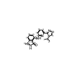 CC(C)n1cnnc1-c1cccc(Nc2cccc3c2c(=O)[nH]n3C)n1